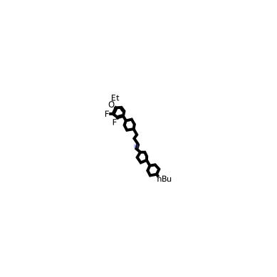 CCCCC1CCC(C2CCC(/C=C/CCC3CCC(c4ccc(OCC)c(F)c4F)CC3)CC2)CC1